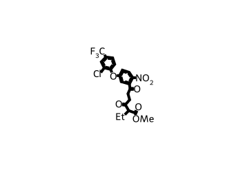 CCC(C(=O)CCC(=O)c1cc(Oc2ccc(C(F)(F)F)cc2Cl)ccc1[N+](=O)[O-])C(=O)OC